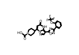 O=C(O)N1CCC(c2cc(=O)[nH]c3c(-c4nc(-c5ccccc5OC(F)(F)F)no4)cnn23)CC1